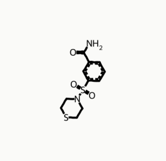 NC(=O)c1cccc(S(=O)(=O)N2CCSCC2)c1